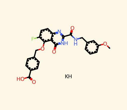 COc1cccc(CNC(=O)c2nc3ccc(F)c(OCc4ccc(C(=O)O)cc4)c3c(=O)[nH]2)c1.[KH]